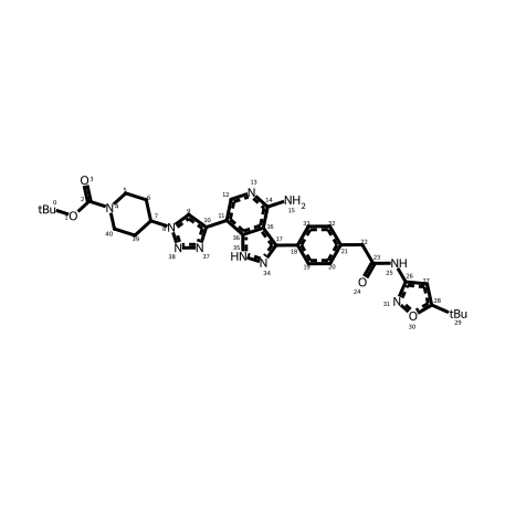 CC(C)(C)OC(=O)N1CCC(n2cc(-c3cnc(N)c4c(-c5ccc(CC(=O)Nc6cc(C(C)(C)C)on6)cc5)n[nH]c34)nn2)CC1